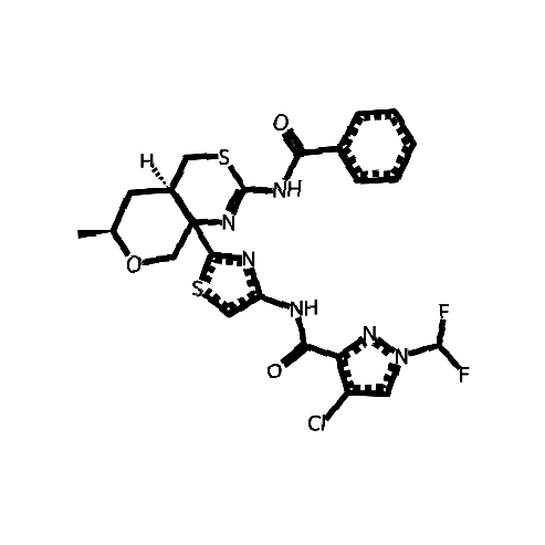 C[C@H]1C[C@H]2CSC(NC(=O)c3ccccc3)=NC2(c2nc(NC(=O)c3nn(C(F)F)cc3Cl)cs2)CO1